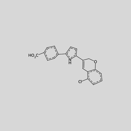 O=C(O)c1ccc(-c2ccc(C3=Cc4c(Cl)cccc4OC3)[nH]2)cc1